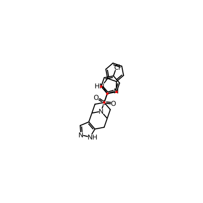 O=S(=O)(c1ccc(Cl)cc1)N1C2Cc3[nH]ncc3C1CC(c1nc3ccccc3[nH]1)C2